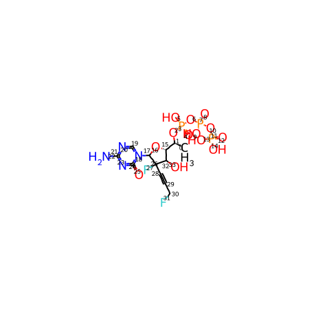 C[C@H](OP(=O)(O)OP(=O)(O)OP(=O)(O)O)[C@H]1OC(n2cnc(N)nc2=O)C(F)(C#CCF)C1O